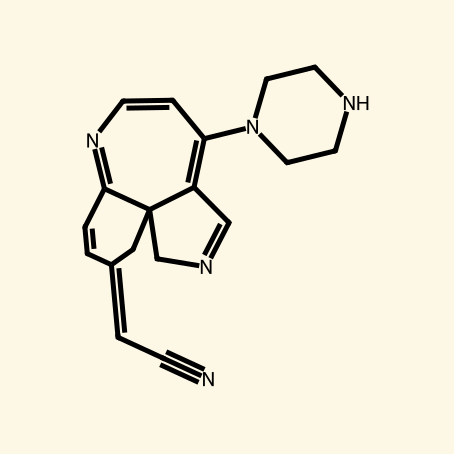 N#C/C=C1/C=CC2=NC=CC(N3CCNCC3)=C3C=NCC23C1